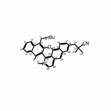 Cc1c2c(c(CC(C)(C)C)c3ccccc13)Oc1c3ccc(CC(C)(C)C#N)cc3cc3cc[n+](C)c-2c13